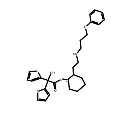 O=C(O[C@@H]1CCCCC1CCNCCCOc1ccccc1)C(O)(c1cccs1)c1cccs1